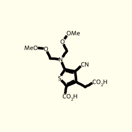 COOCN(COOC)c1sc(C(=O)O)c(CC(=O)O)c1C#N